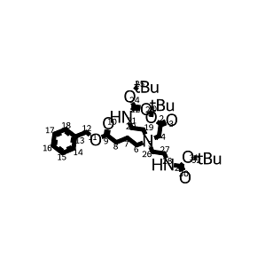 CC(C)(C)OC(=O)C[N+](CCCC(=O)OCc1ccccc1)(CCNC(=O)OC(C)(C)C)CCNC(=O)OC(C)(C)C